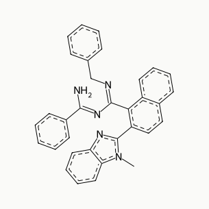 Cn1c(-c2ccc3ccccc3c2C(/N=C(\N)c2ccccc2)=N/Cc2ccccc2)nc2ccccc21